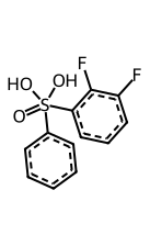 O=S(O)(O)(c1ccccc1)c1cccc(F)c1F